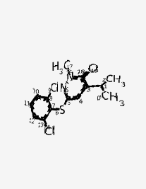 CC(C)c1cc(Sc2c(Cl)c[c]cc2Cl)nn(C)c1=O